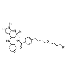 CCN1NC=C2C(NC3CCOCC3)=CC(CC)(CNC(=O)c3ccc(CCCCOCCCCBr)cc3)N=C21